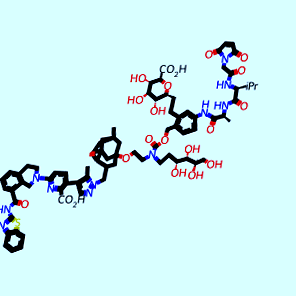 Cc1c(-c2ccc(N3CCc4cccc(C(=O)Nc5nc6ccccc6s5)c4C3)nc2C(=O)O)cnn1CC1CC2(OCCN(CC[C@@H](O)[C@H](O)[C@H](O)CO)C(=O)OCc3ccc(NC(=O)[C@H](C)NC(=O)[C@@H](NC(=O)CN4C(=O)C=CC4=O)C(C)C)cc3CC[C@@H]3O[C@H](C(=O)O)[C@@H](O)[C@H](O)[C@H]3O)CC3(C)CCC1C(C)(C3)C2